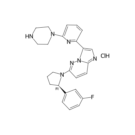 Cl.Fc1cccc([C@H]2CCCN2c2ccc3ncc(-c4cccc(N5CCNCC5)n4)n3n2)c1